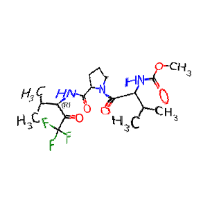 COC(=O)NC(C(=O)N1CCCC1C(=O)N[C@@H](C(=O)C(F)(F)F)C(C)C)C(C)C